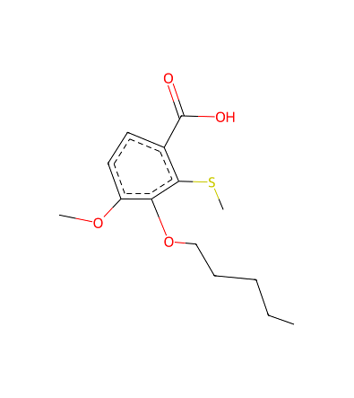 CCCCCOc1c(OC)ccc(C(=O)O)c1SC